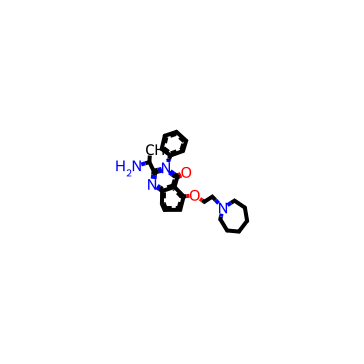 CC(N)c1nc2cccc(OCCN3CCCCCC3)c2c(=O)n1-c1ccccc1